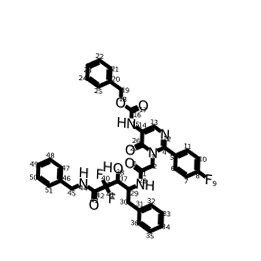 O=C(Cn1c(-c2ccc(F)cc2)ncc(NC(=O)OCc2ccccc2)c1=O)NC(Cc1ccccc1)C(O)C(F)(F)C(=O)NCc1ccccc1